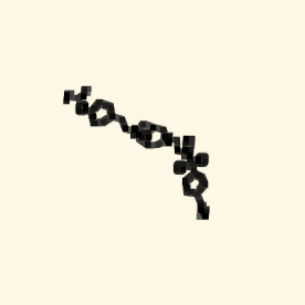 N#Cc1ccc(S(=O)(=O)NCCN2CC3CN(CCc4ccc(OC(F)F)cc4)CC(C2)O3)cc1